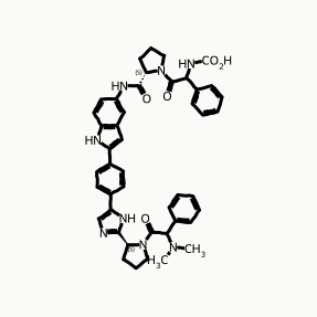 CN(C)C(C(=O)N1CCC[C@H]1c1ncc(-c2ccc(-c3cc4cc(NC(=O)[C@@H]5CCCN5C(=O)C(NC(=O)O)c5ccccc5)ccc4[nH]3)cc2)[nH]1)c1ccccc1